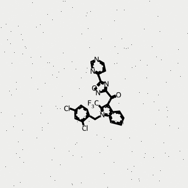 O=C(c1noc(-c2ccncn2)n1)c1c(C(F)(F)F)n(Cc2ccc(Cl)cc2Cl)c2ccccc12